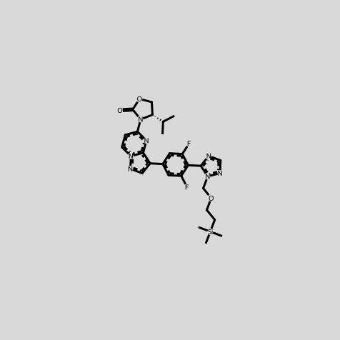 CC(C)[C@H]1COC(=O)N1c1ccn2ncc(-c3cc(F)c(-c4ncnn4COCC[Si](C)(C)C)c(F)c3)c2n1